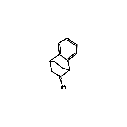 CC(C)N1CC2CCC1c1ccccc12